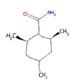 CC1C[C@@H](C)C(C(N)=O)[C@@H](C)C1